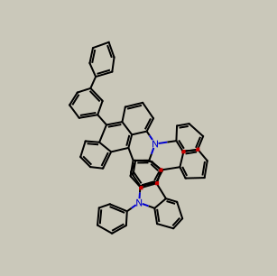 c1ccc(-c2cccc(-c3c4ccccc4c(-c4cccc(-c5ccccc5)c4)c4c(N(c5ccccc5)c5ccc6c(c5)c5ccccc5n6-c5ccccc5)cccc34)c2)cc1